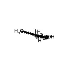 CCCCCCCCCCCCCCNC(=O)NNC(=O)CCSc1ccc(O)cc1